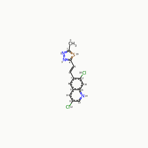 Cc1nnc(C=Cc2cc3cc(Cl)cnc3cc2Cl)s1